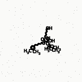 Cc1ccc(CCCCCO[C@@H](C(=O)NCCCCCO)[C@@H](OCC(=O)OC(C)(C)C)C(=O)O)cc1C